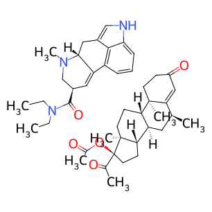 CC(=O)O[C@]1(C(C)=O)CC[C@H]2[C@@H]3C[C@H](C)C4=CC(=O)CC[C@]4(C)[C@H]3CC[C@@]21C.CCN(CC)C(=O)[C@@H]1C=C2c3cccc4[nH]cc(c34)C[C@H]2N(C)C1